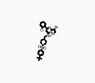 CC(C)(C)c1ccc(S(=O)(=O)N2CCC(CNc3cc(-c4ccccc4Cl)nc4c(Br)cnn34)CC2)cc1